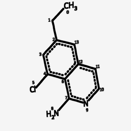 CCc1cc(Cl)c2c(N)nccc2c1